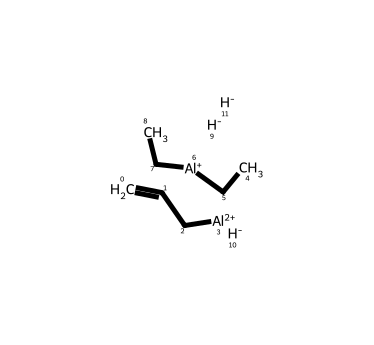 C=C[CH2][Al+2].C[CH2][Al+][CH2]C.[H-].[H-].[H-]